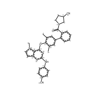 Cc1cc(-c2ccccc2C(=O)N2CCC(C#N)C2)cc(C)c1Oc1nc(Nc2ccc(C#N)cc2)nc2ccn(C)c12